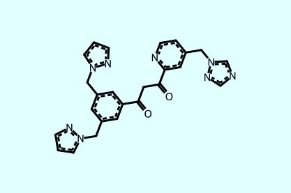 O=C(CC(=O)c1cc(Cn2cncn2)ccn1)c1cc(Cn2cccn2)cc(Cn2cccn2)c1